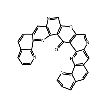 O=c1c2c(cnc3cc4ccc5cccnc5c4nc32)oc2cnc3cc4ccc5cccnc5c4nc3c12